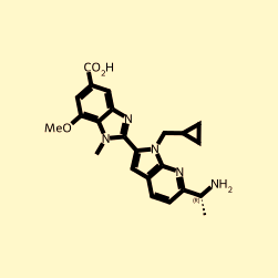 COc1cc(C(=O)O)cc2nc(-c3cc4ccc([C@@H](C)N)nc4n3CC3CC3)n(C)c12